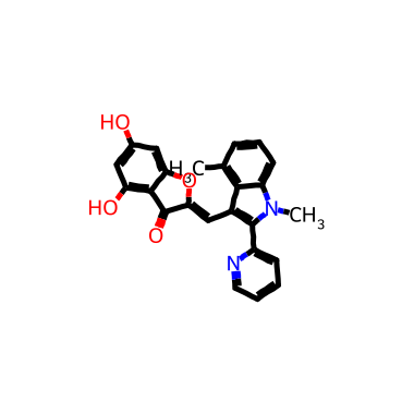 Cc1cccc2c1c(/C=C1\Oc3cc(O)cc(O)c3C1=O)c(-c1ccccn1)n2C